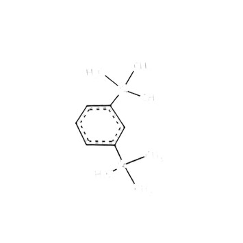 C[Si](C)(C)c1[c]ccc([Si](C)(C)C)c1